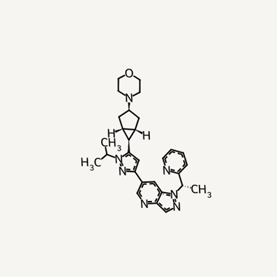 CC(C)n1nc(-c2cnc3cnn([C@@H](C)c4ccccn4)c3c2)cc1[C@H]1[C@@H]2C[C@@H](N3CCOCC3)C[C@@H]21